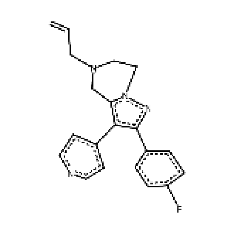 C=CCN1CCn2nc(-c3ccc(F)cc3)c(-c3ccncc3)c2C1